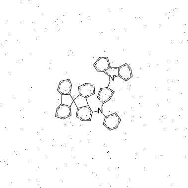 c1ccc(N(c2ccc(-n3c4ccccc4c4ccccc43)cc2)c2cccc3c2-c2ccccc2C32c3ccccc3-c3ccccc32)cc1